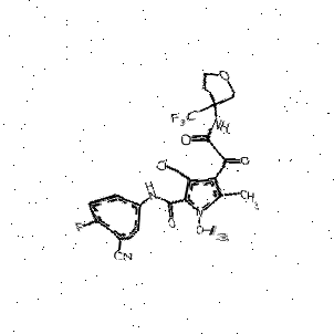 Cc1c(C(=O)C(=O)NC2(C(F)(F)F)CCOC2)c(Cl)c(C(=O)Nc2ccc(F)c(C#N)c2)n1C